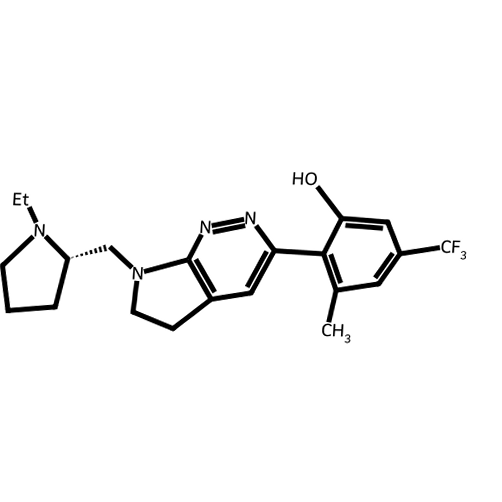 CCN1CCC[C@H]1CN1CCc2cc(-c3c(C)cc(C(F)(F)F)cc3O)nnc21